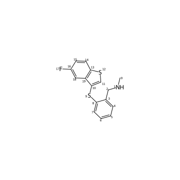 CNCc1ccccc1Sc1csc2ccc(F)cc12